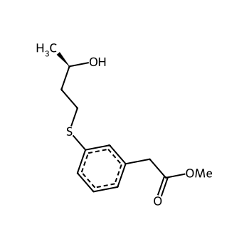 COC(=O)Cc1cccc(SCC[C@@H](C)O)c1